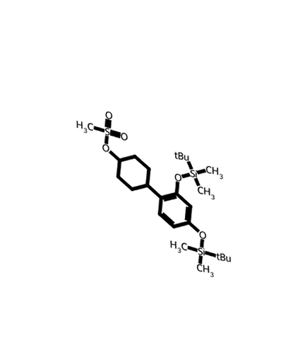 CC(C)(C)[Si](C)(C)Oc1ccc(C2CCC(OS(C)(=O)=O)CC2)c(O[Si](C)(C)C(C)(C)C)c1